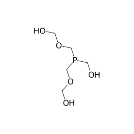 OCOCP(CO)COCO